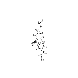 CCCCC1CCC(c2ccc(CCC)cc2)C(C#N)C1